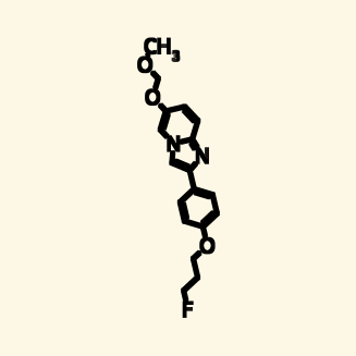 COCOc1ccc2nc(-c3ccc(OCCCF)cc3)cn2c1